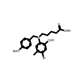 COC(=O)CCCCN(Cc1ccc(OC)cc1)c1cc(C)c(Br)cc1C=O